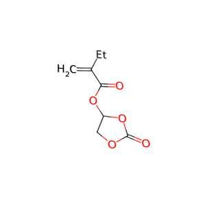 C=C(CC)C(=O)OC1COC(=O)O1